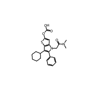 CN(C)C(=O)Cn1c(-c2ccccc2)c(C2CCCCC2)c2sc(OC(=O)O)cc21